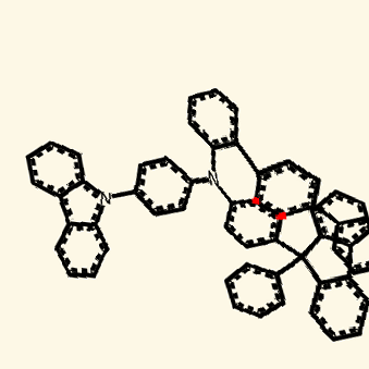 c1ccc(-c2ccc(-c3ccccc3N(c3ccc(-n4c5ccccc5c5ccccc54)cc3)c3ccc(C4(c5ccccc5)c5ccccc5-c5ccccc54)cc3)cc2)cc1